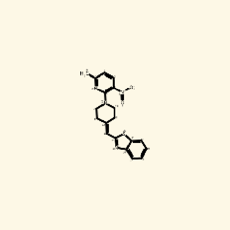 Cc1ccc([N+](=O)[O-])c(N2CCC(=Cc3nc4ccccc4s3)CC2)n1